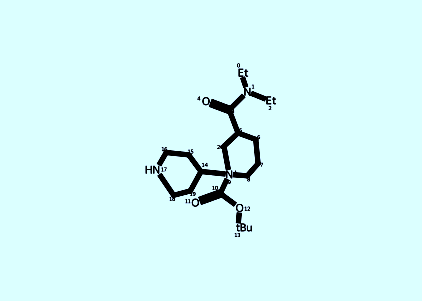 CCN(CC)C(=O)C1CCC[N+](C(=O)OC(C)(C)C)(C2CCNCC2)C1